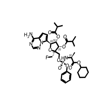 CC(C)C(=O)O[C@H]1[C@H](c2ccc3c(N)ncnn23)O[C@](CF)(COP(=O)(N[C@@H](C)C(=O)OC2CCCCC2)Oc2ccccc2)[C@H]1OC(=O)C(C)C